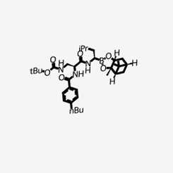 CCCCc1ccc(C(=O)N[C@@H](CNC(=O)OC(C)(C)C)C(=O)N[C@@H](CC(C)C)B2O[C@@H]3C[C@@H]4C[C@@H](C4(C)C)[C@]3(C)O2)cc1